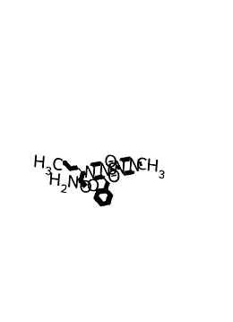 CCCC[C@@H](C(N)=O)N1CCN(S(=O)(=O)N2CCN(C)CC2)[C@@H](Cc2ccccc2)C1=O